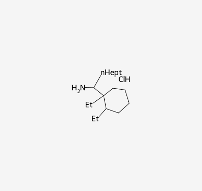 CCCCCCCC(N)C1(CC)CCCCC1CC.Cl